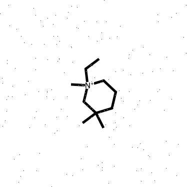 CC[N+]1(C)CCCC(C)(C)C1